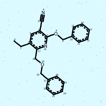 CCc1cc(C#N)c(OCc2ccccc2)nc1COCc1ccccc1